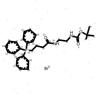 CC(C)(C)OC(=O)NCCNC(=O)CCC[P+](c1ccccc1)(c1ccccc1)c1ccccc1.[Br-]